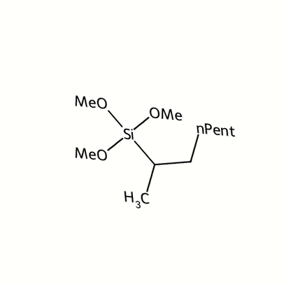 CCCCCCC(C)[Si](OC)(OC)OC